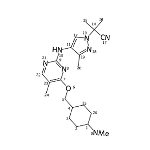 CNC1CCC(COc2nc(Nc3cn(C(C)(C)C#N)nc3C)ncc2C)CC1